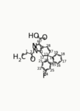 C=CC(=O)n1nc(C(=O)O)c2c1CC(c1ccccc1)(c1ccc(F)cc1)C=C2